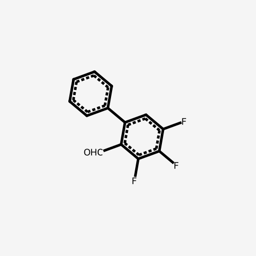 O=Cc1c(-c2ccccc2)cc(F)c(F)c1F